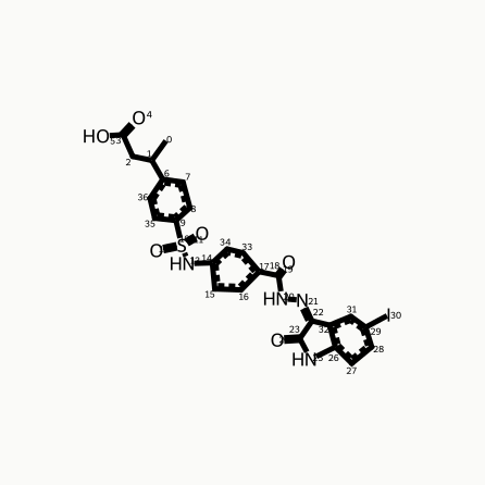 CC(CC(=O)O)c1ccc(S(=O)(=O)Nc2ccc(C(=O)NN=C3C(=O)Nc4ccc(I)cc43)cc2)cc1